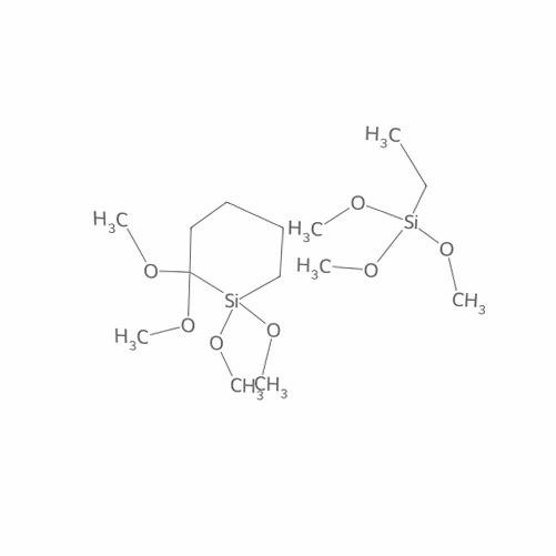 CC[Si](OC)(OC)OC.COC1(OC)CCCC[Si]1(OC)OC